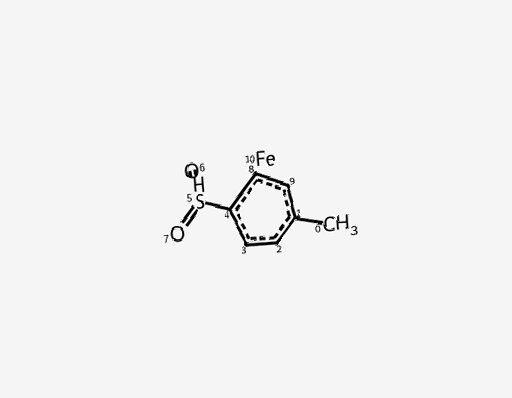 Cc1ccc([SH](=O)=O)cc1.[Fe]